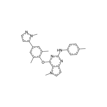 Cc1ccc(Nc2nc(Oc3c(C)cc(-c4ccnn4C)cc3C)c3c(ccn3C)n2)cc1